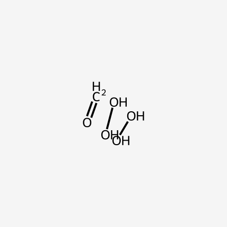 C=O.OO.OO